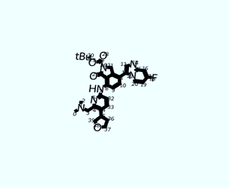 CN(C)Cc1nc(Nc2ccc(-c3cnc4cc(F)ccn34)c3c2C(=O)N(C(=O)OC(C)(C)C)C3)ccc1C1CCOC1